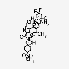 CCn1nc(C(=O)NCC2(O)CCC(S(C)(=O)=O)CC2)c(Cl)c1-c1cnc(NC(C)(C)CC(F)(F)F)cc1C(C)C